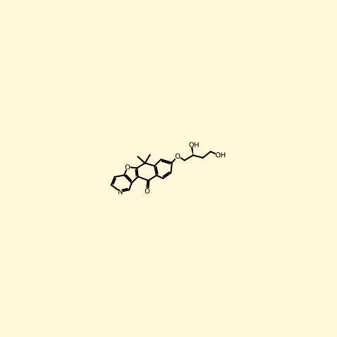 CC1(C)c2cc(OC[C@@H](O)CCO)ccc2C(=O)c2c1oc1ccncc21